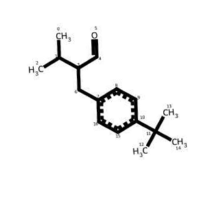 CC(C)C(C=O)Cc1ccc(C(C)(C)C)cc1